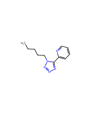 CCCCCn1nnnc1-c1ccccn1